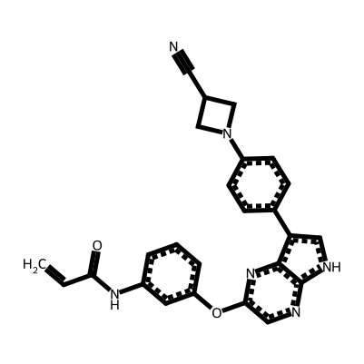 C=CC(=O)Nc1cccc(Oc2cnc3[nH]cc(-c4ccc(N5CC(C#N)C5)cc4)c3n2)c1